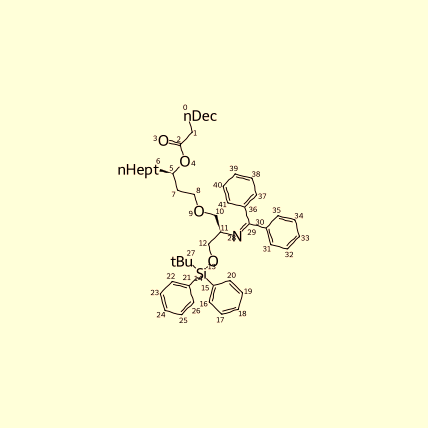 CCCCCCCCCCCC(=O)O[C@H](CCCCCCC)CCOC[C@H](CO[Si](c1ccccc1)(c1ccccc1)C(C)(C)C)N=C(c1ccccc1)c1ccccc1